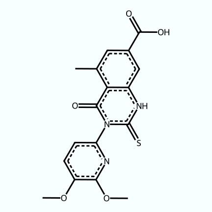 COc1ccc(-n2c(=S)[nH]c3cc(C(=O)O)cc(C)c3c2=O)nc1OC